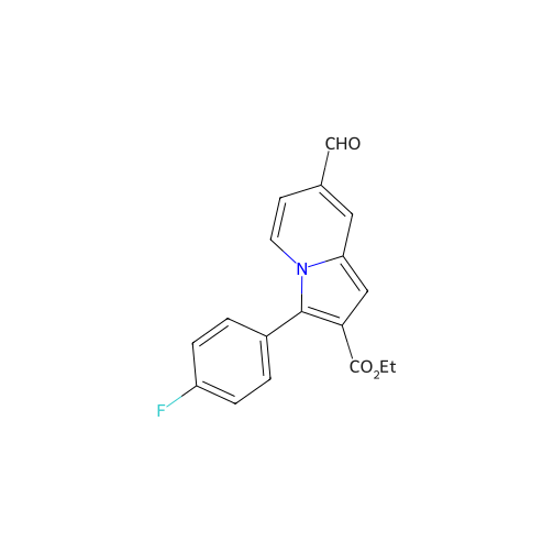 CCOC(=O)c1cc2cc(C=O)ccn2c1-c1ccc(F)cc1